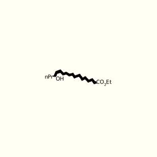 CCC[C@H](O)/C=C\CCCCCCCCCCCC(=O)OCC